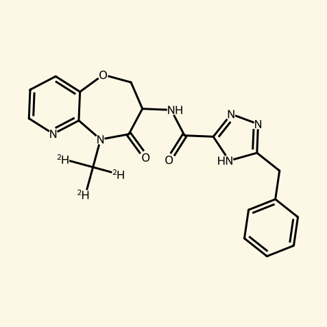 [2H]C([2H])([2H])N1C(=O)C(NC(=O)c2nnc(Cc3ccccc3)[nH]2)COc2cccnc21